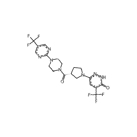 O=C([C@@H]1CCN(c2cc(C(F)(F)F)c(=O)[nH]n2)C1)N1CCN(c2ncc(C(F)(F)F)cn2)CC1